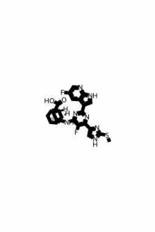 CSc1nc(-c2nc(-c3c[nH]c4ncc(F)cc34)nc(N[C@H]3C4CCC(CC4)[C@@H]3C(=O)O)c2F)c[nH]1